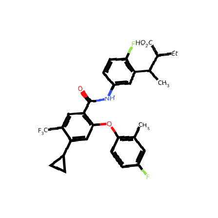 CCC(C(=O)O)C(C)c1cc(NC(=O)c2cc(C(F)(F)F)c(C3CC3)cc2Oc2ccc(F)cc2C)ccc1F